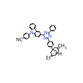 CC[C@@H]1C[C@@H]2C[C@H](C)CC(c3ccc(-c4nc(-c5ccccc5)nc(-c5ccc6c(c5)c5ccccc5n6-c5ccc(C#N)cc5)n4)cc3)(C1)C2